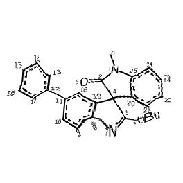 CN1C(=O)C2(C(C(C)(C)C)=Nc3ccc(-c4ccccc4)cc32)c2ccccc21